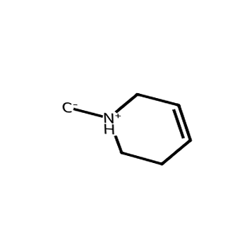 [CH2-][NH+]1CC=CCC1